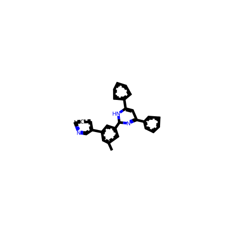 Cc1cc(-c2cccnc2)cc(C2N=C(c3ccccc3)C=C(c3ccccc3)N2)c1